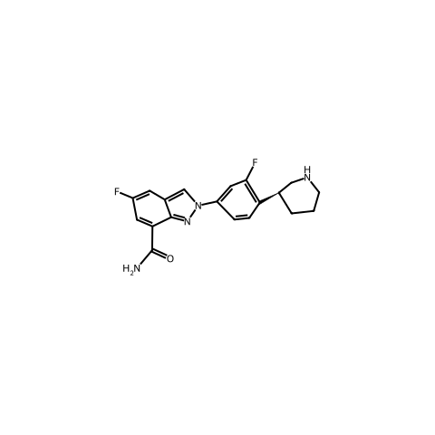 NC(=O)c1cc(F)cc2cn(-c3ccc([C@@H]4CCCNC4)c(F)c3)nc12